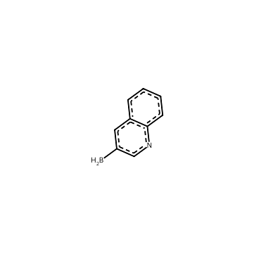 Bc1cnc2ccccc2c1